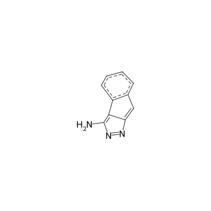 NC1=C2C(=Cc3ccccc32)N=N1